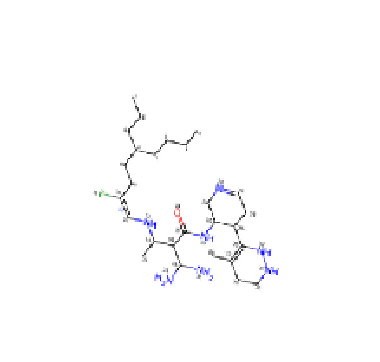 CCCCC(CCC)CC/C(F)=C\NC(C)C(C(=O)NC1CN=CCC1C1=C(C)CCNN1)C(N)N